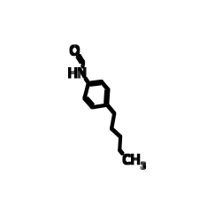 CCCCCc1ccc(NC=O)cc1